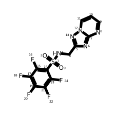 O=S(=O)(NCc1nc2ncccn2n1)c1c(F)c(F)c(F)c(F)c1F